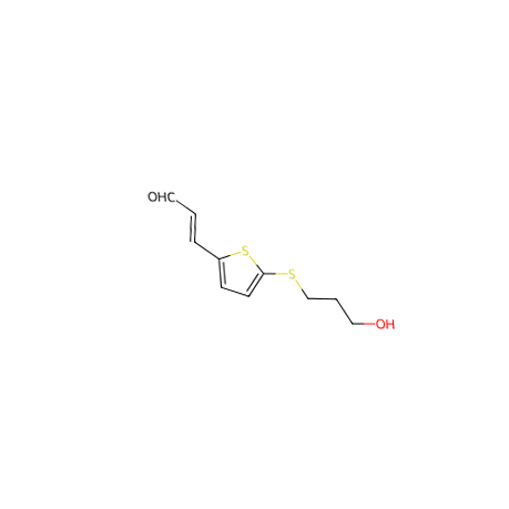 O=CC=Cc1ccc(SCCCO)s1